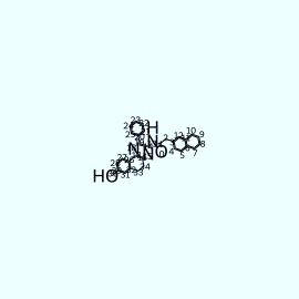 O=C(Cc1ccc2ccccc2c1)Nc1nc2c(nc1-c1ccccc1)-c1ccc(O)cc1CC2